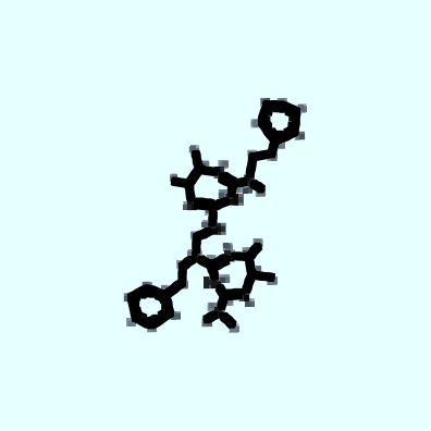 CC1N=C(NCN(CCc2ccccc2)C2=NC(C)C(C)N=C(N(C)C)N2)NC(N(C)CCc2ccccc2)=NC1C